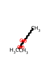 CCCCCCCCCOC(=O)/C=C/C(=O)OC(C)C